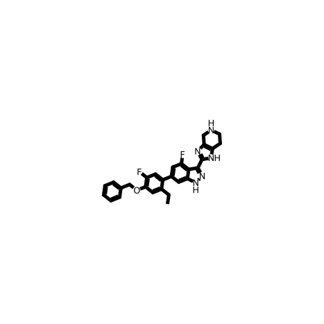 CCc1cc(OCc2ccccc2)c(F)cc1-c1cc(F)c2c(-c3nc4c([nH]3)CCNC4)n[nH]c2c1